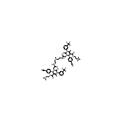 CC1=C(C(=O)OCCN(C)C)[C@@H](c2ccc(C#N)cc2)N(CC(=O)NCCN(C)CCNC(=O)CN2C(=O)N(c3cccc(C(F)(F)F)c3)C(C)=C(C(=O)OCC[N+](C)(C)C)[C@H]2c2ccc(C#N)cc2)C(=O)N1c1cccc(C(F)(F)F)c1